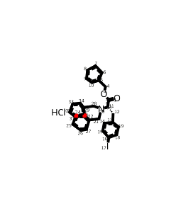 Cl.O=C(OCc1ccccc1)[C@H](Cc1ccc(I)cc1)N(Cc1ccccc1)Cc1ccccc1